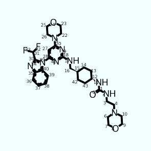 O=C(NCCN1CCOCC1)N[C@H]1CC[C@H](CNc2nc(N3CCOCC3)cc(-n3c(C(F)F)nc4ccccc43)n2)CC1